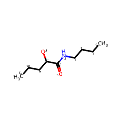 CCCCNC(=O)C([O])CCC